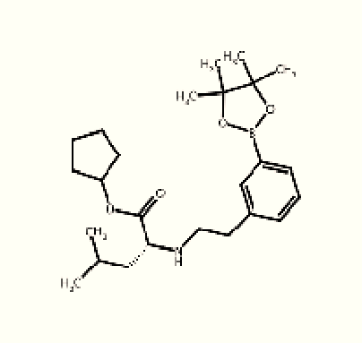 CC(C)C[C@@H](NCCc1cccc(B2OC(C)(C)C(C)(C)O2)c1)C(=O)OC1CCCC1